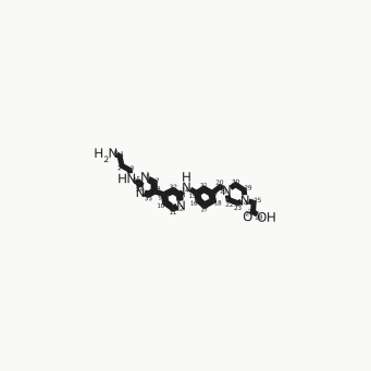 NCCCNc1ncc(-c2ccnc(Nc3cccc(CN4CCN(CC(=O)O)CC4)c3)c2)cn1